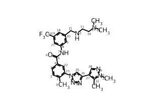 Cc1ccc(C(=O)Nc2cc(CNCCN(C)C)cc(C(F)(F)F)c2)cc1-n1cc(-c2cnn(C)c2C)nn1